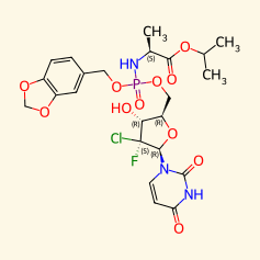 CC(C)OC(=O)[C@H](C)NP(=O)(OCc1ccc2c(c1)OCO2)OC[C@H]1O[C@@H](n2ccc(=O)[nH]c2=O)[C@@](F)(Cl)[C@@H]1O